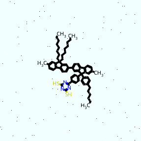 CCCCCCCCC1(CCCCCCCC)c2cc(C)ccc2-c2ccc(-c3ccc4c(c3)C(c3ccc(CCCCCC)cc3)(c3ccc(-c5nc(S)nc(S)n5)cc3)c3cc(C)ccc3-4)cc21